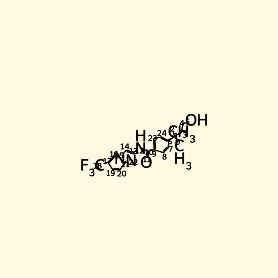 CC(C)(CCO)c1ccc(C(=O)Nc2cn3cc(C(F)(F)F)ccc3n2)cc1